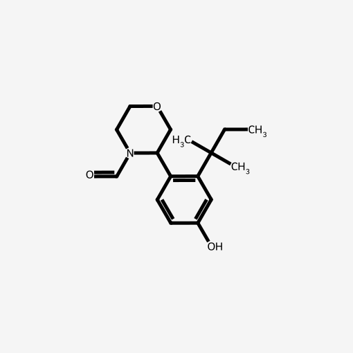 CCC(C)(C)c1cc(O)ccc1C1COCCN1C=O